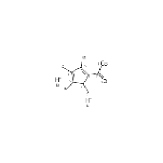 CC1=C(C)C(C)C([C](=O)[Co])=C1C.[H-].[H-]